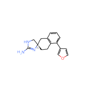 NC1=N[C@]2(CCc3c(cccc3-c3ccoc3)C2)CN1